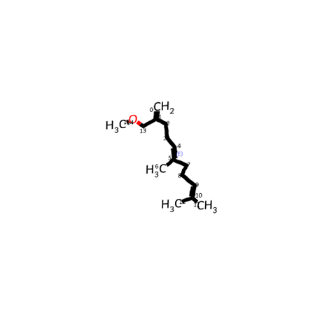 C=C(CC/C=C(\C)CCC=C(C)C)COC